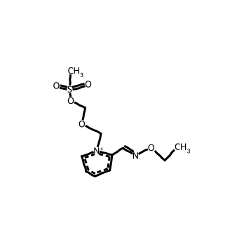 CCO/N=C/c1cccc[n+]1COCOS(C)(=O)=O